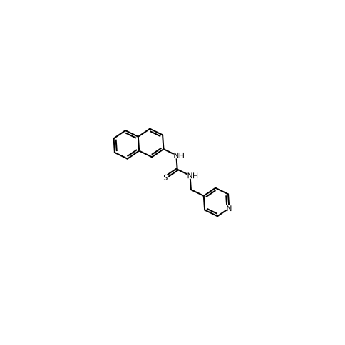 S=C(NCc1ccncc1)Nc1ccc2ccccc2c1